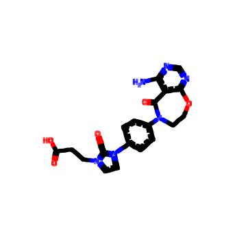 Nc1ncnc2c1C(=O)N(c1ccc(-n3ccn(CCC(=O)O)c3=O)cc1)CCO2